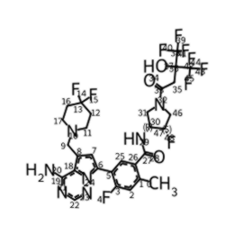 Cc1cc(F)c(-c2cc(CN3CCC(F)(F)CC3)c3c(N)ncnn23)cc1C(=O)N[C@@H]1CN(C(=O)CC(O)(C(F)(F)F)C(F)(F)F)C[C@@H]1F